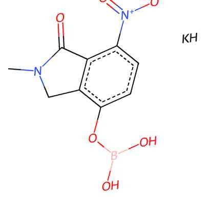 CN1Cc2c(OB(O)O)ccc([N+](=O)[O-])c2C1=O.[KH]